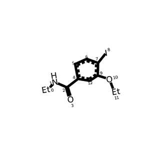 CCNC(=O)c1ccc(I)c(OCC)c1